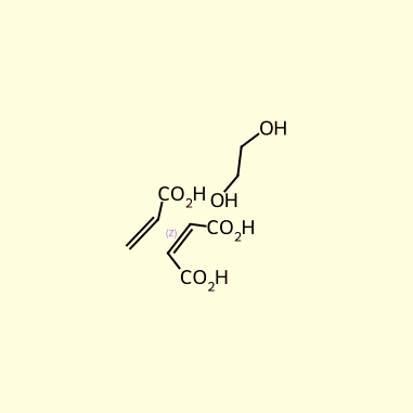 C=CC(=O)O.O=C(O)/C=C\C(=O)O.OCCO